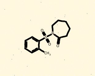 Cc1ccccc1S(=O)(=O)N1CCCCCC1=O